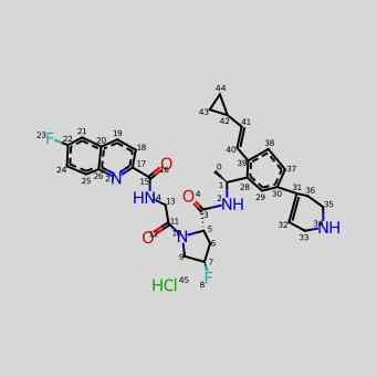 C[C@H](NC(=O)[C@@H]1C[C@@H](F)CN1C(=O)CNC(=O)c1ccc2cc(F)ccc2n1)c1cc(C2=CCNCC2)ccc1/C=C/C1CC1.Cl